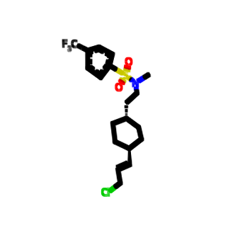 CN(CC[C@H]1CC[C@H](C=CCCl)CC1)S(=O)(=O)c1ccc(C(F)(F)F)cc1